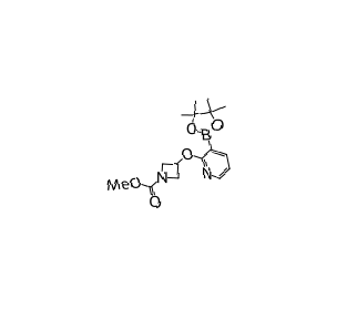 COC(=O)N1CC(Oc2ncccc2B2OC(C)(C)C(C)(C)O2)C1